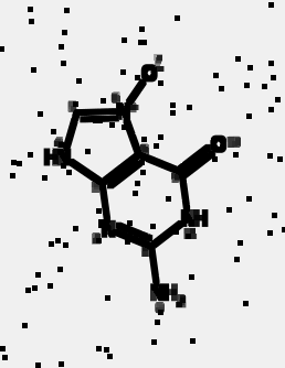 Nc1nc2[nH]c[n+]([O-])c2c(=O)[nH]1